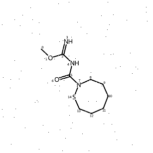 COC(=N)NC(=O)N1CCCCCCS1